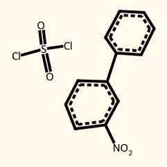 O=S(=O)(Cl)Cl.O=[N+]([O-])c1cccc(-c2ccccc2)c1